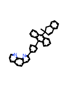 CC1(c2c3ccccc3c(-c3ccc(-c4ccc5ccc6cccnc6c5n4)cc3)c3ccccc23)C=Cc2ccccc2C1